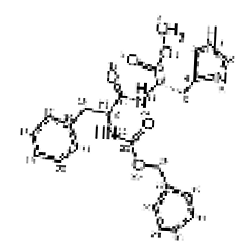 COC(=O)[C@H](Cc1c[nH]cn1)NC(=O)[C@H](Cc1ccccc1)NC(=O)OCc1ccccc1